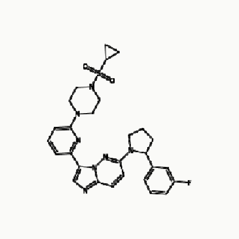 O=S(=O)(C1CC1)N1CCN(c2cccc(-c3cnc4ccc(N5CCCC5c5cccc(F)c5)nn34)n2)CC1